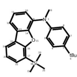 CN(c1ccc(C(C)(C)C)cc1)c1cccc2c1oc1c([Si](C)(C)C)cccc12